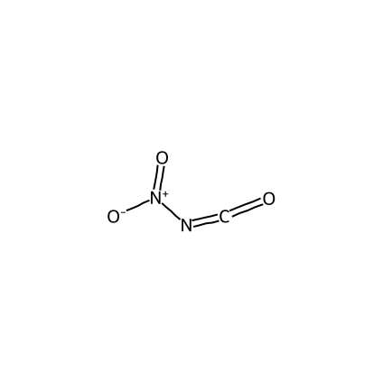 O=C=N[N+](=O)[O-]